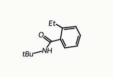 [CH2]Cc1ccccc1C(=O)NC(C)(C)C